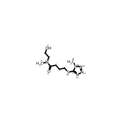 CN(CCO)C(=O)CCCSc1nnnn1C